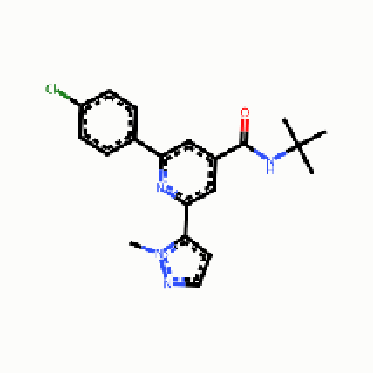 Cn1nccc1-c1cc(C(=O)NC(C)(C)C)cc(-c2ccc(Cl)cc2)n1